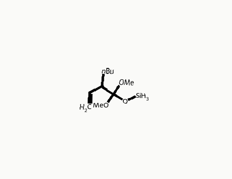 C=CC(CCCC)C(OC)(OC)O[SiH3]